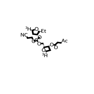 [3H][C@H]1C[C@@H](OC(=O)CCC(C)=O)[C@@H](COP(OCCC#N)O[C@@H]2C[C@H]([3H])O[C@@H]2CC)O1